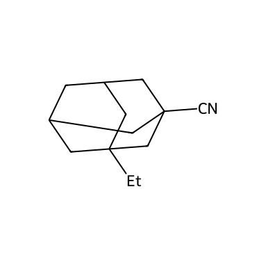 CCC12CC3CC(CC(C#N)(C3)C1)C2